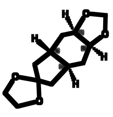 C1O[C@H]2C[C@H]3CC4(C[C@@H]3C[C@H]2O1)OCCO4